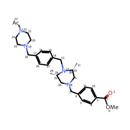 COC(=O)c1ccc(CN2C[C@@H](C)N(Cc3ccc(CN4CCN(C(C)=O)CC4)cc3)[C@@H](C)C2)cc1